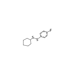 Fc1ccc(SSC2CCCCC2)cc1